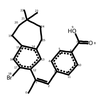 C/C(=C/c1ccc(C(=O)O)cc1)c1cc2c(cc1Br)CCC(C)(C)CC2